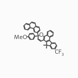 COc1ccc(C2(c3ccc4ccc5ccccc5c4c3)C=Cc3c4c(c5ccccc5c3O2)-c2ccc(C(F)(F)F)cc2C4(C)C)cc1